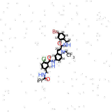 CC(C)C(=O)NCc1ccc(Cl)c(C(=O)Nc2ccc3c(c2)cc(C(=O)NC(C)c2ccc(Br)cc2)n3CC(F)(F)F)c1